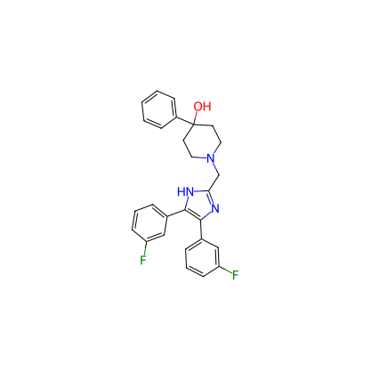 OC1(c2ccccc2)CCN(Cc2nc(-c3cccc(F)c3)c(-c3cccc(F)c3)[nH]2)CC1